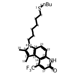 CCCCSCCCCCCn1c(C)c(C)c2c3c(C(F)(F)F)cc(=O)[nH]c3ccc21